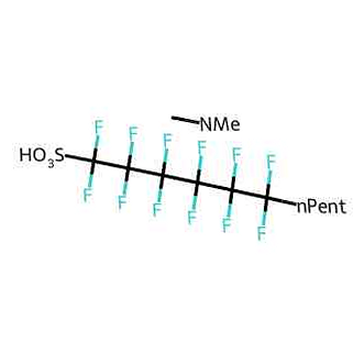 CCCCCC(F)(F)C(F)(F)C(F)(F)C(F)(F)C(F)(F)C(F)(F)S(=O)(=O)O.CNC